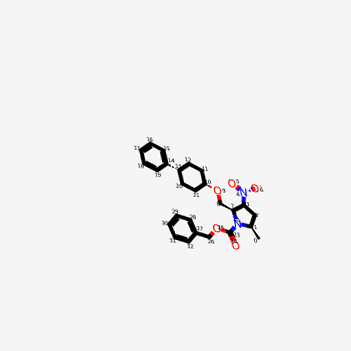 C[C@@H]1CC([N+](=O)[O-])[C@H](CO[C@H]2CC[C@@H](c3ccccc3)CC2)N1C(=O)OCc1ccccc1